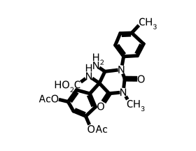 CC(=O)Oc1cc(OC(C)=O)cc(C2(NC(=O)O)C(=O)N(C)C(=O)N(c3ccc(C)cc3)C2N)c1